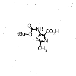 Cc1nc(C(=O)O)c(NC(=O)OC(C)(C)C)s1